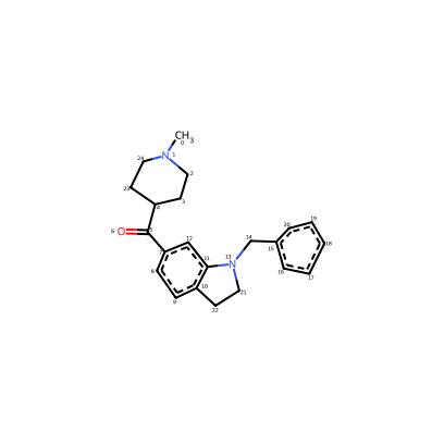 CN1CCC(C(=O)c2ccc3c(c2)N(Cc2ccccc2)CC3)CC1